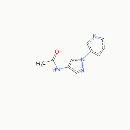 CC(=O)Nc1cnn(-c2cccnc2)c1